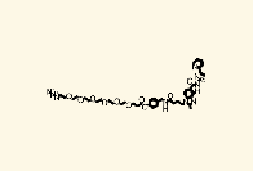 Cc1nc2cc(C(=O)Nc3nc(-c4ccccn4)cs3)ccc2n1CCCC(=O)NCc1ccc(OC(=O)CCOCCOCCOCCOCCOCCOCCN=[N+]=[N-])cc1